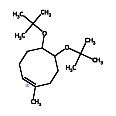 C/C1=C/CCC(OC(C)(C)C)C(OC(C)(C)C)CC1